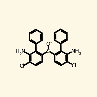 Nc1c(Cl)ccc([S+]([O-])c2ccc(Cl)c(N)c2-c2ccccc2)c1-c1ccccc1